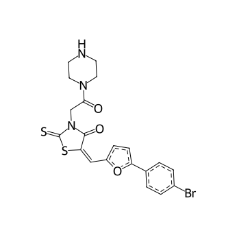 O=C(CN1C(=O)C(=Cc2ccc(-c3ccc(Br)cc3)o2)SC1=S)N1CCNCC1